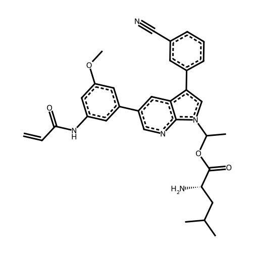 C=CC(=O)Nc1cc(OC)cc(-c2cnc3c(c2)c(-c2cccc(C#N)c2)cn3C(C)OC(=O)[C@@H](N)CC(C)C)c1